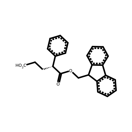 O=C(O)CC[C@@H](C(=O)OCC1c2ccccc2-c2ccccc21)c1ccccc1